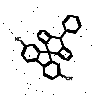 N#Cc1ccc2c(c1)C1(c3cc(C#N)ccc3-2)c2ccccc2C(c2ccccc2)c2ccccc21